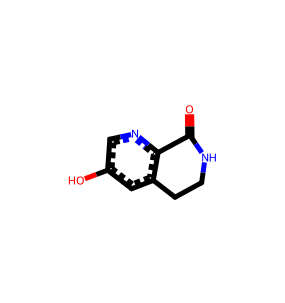 O=C1NCCc2cc(O)cnc21